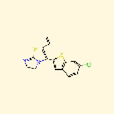 C=CC1=C(c2cc3ccc(Cl)cc3s2)N2CCN=C2S1